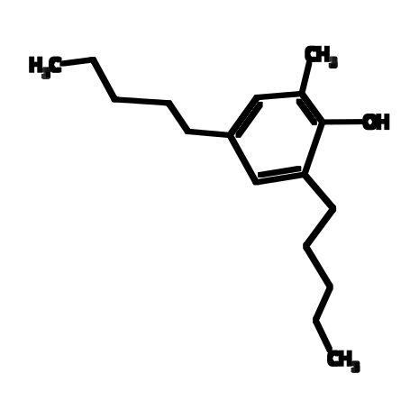 CCCCCc1cc(C)c(O)c(CCCCC)c1